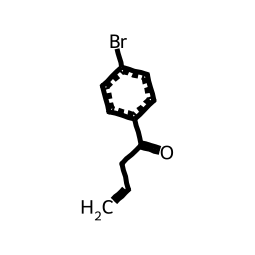 C=CCC(=O)c1ccc(Br)cc1